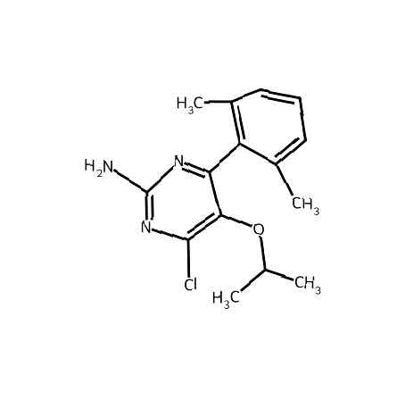 Cc1cccc(C)c1-c1nc(N)nc(Cl)c1OC(C)C